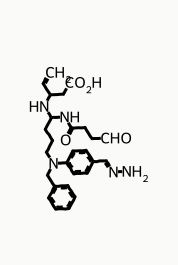 C=CC(CC(=O)O)NC(CCCN(Cc1ccccc1)c1ccc(C=NN)cc1)NC(=O)CCC=O